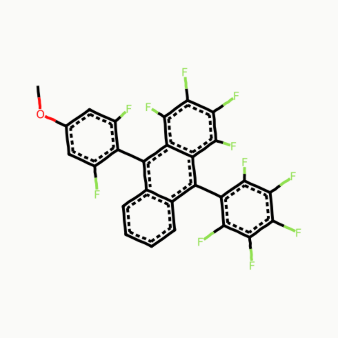 COc1cc(F)c(-c2c3ccccc3c(-c3c(F)c(F)c(F)c(F)c3F)c3c(F)c(F)c(F)c(F)c23)c(F)c1